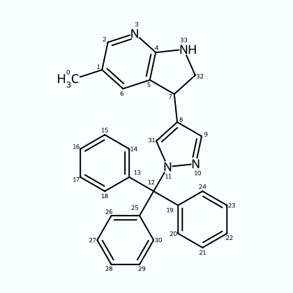 Cc1cnc2c(c1)C(c1cnn(C(c3ccccc3)(c3ccccc3)c3ccccc3)c1)CN2